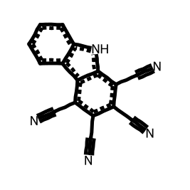 N#Cc1c(C#N)c(C#N)c2c([nH]c3ccccc32)c1C#N